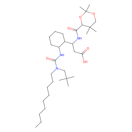 CCCCCCCCCN(CC(C)(C)C)C(=O)NC1CCCCC1C(CC(=O)O)NC(=O)C1OC(C)(C)OCC1(C)C